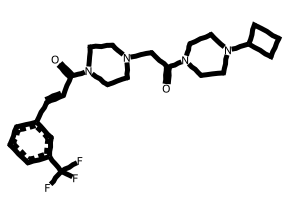 O=C(C=Cc1cccc(C(F)(F)F)c1)N1CCN(CC(=O)N2CCN(C3CCC3)CC2)CC1